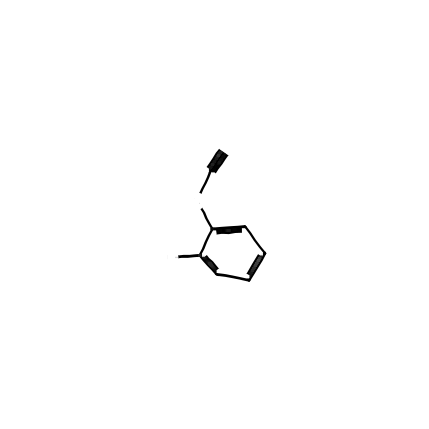 C#CSc1ccccc1[O]